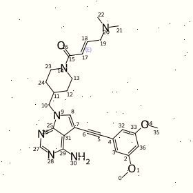 COc1cc(C#Cc2cn(CC3CCN(C(=O)/C=C/CN(C)C)CC3)c3ncnc(N)c23)cc(OC)c1